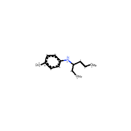 COCCC(COC)Nc1ccc(C=O)cc1